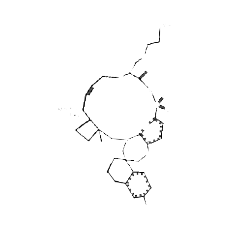 COCCOC[C@@H]1CCC=C[C@@H](OC)[C@@H]2CC[C@H]2CN2C[C@@]3(CCCc4cc(Cl)ccc43)COc3ccc(cc32)S(=O)(=O)NC1=O